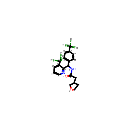 O=C(CC1CCOC1)NC(c1ccc(C(F)(F)F)cc1)c1ncccc1C(F)(F)F